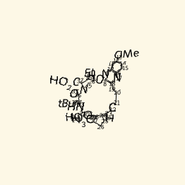 CC[C@H]1C(C(=O)O)N2C[C@@H]1Oc1nc3cc(OC)ccc3nc1CCCCC[C@@H]1CCC[C@@]1(C)OC(O)N[C@@H](C(C)(C)C)C2=O